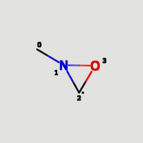 CN1[CH]O1